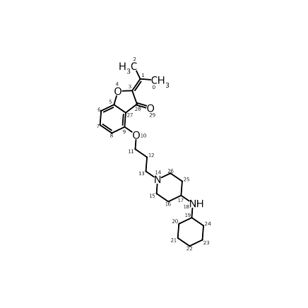 CC(C)=C1Oc2cccc(OCCCN3CCC(NC4CCCCC4)CC3)c2C1=O